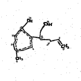 C=CCC(O)c1cc(C)ccc1O